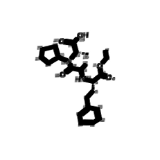 CCOC(=O)[C@H](CCc1ccccc1)NC(C)C(=O)N(C1CCCC1)[C@@H](C)C(=O)O